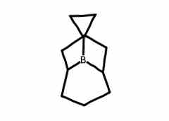 C1CC2CCCC(C1)B2C1CC1